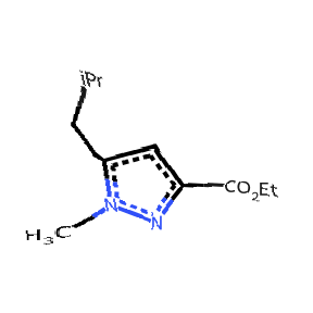 CCOC(=O)c1cc(CC(C)C)n(C)n1